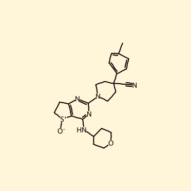 Cc1ccc(C2(C#N)CCN(c3nc4c(c(NC5CCOCC5)n3)[S+]([O-])CC4)CC2)cc1